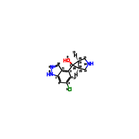 O[C@]1(c2cc(Cl)cc3[nH]ncc23)[C@@H]2CNC[C@@H]21